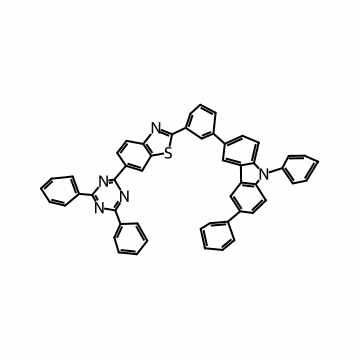 c1ccc(-c2ccc3c(c2)c2cc(-c4cccc(-c5nc6ccc(-c7nc(-c8ccccc8)nc(-c8ccccc8)n7)cc6s5)c4)ccc2n3-c2ccccc2)cc1